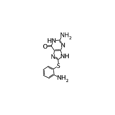 Nc1nc2[nH]c(Sc3ccccc3N)nc2c(=O)[nH]1